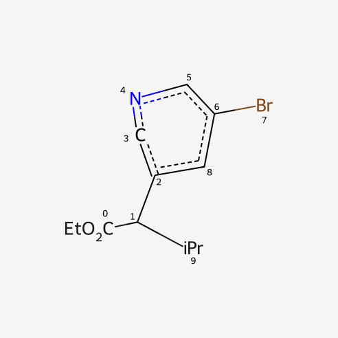 CCOC(=O)C(c1cncc(Br)c1)C(C)C